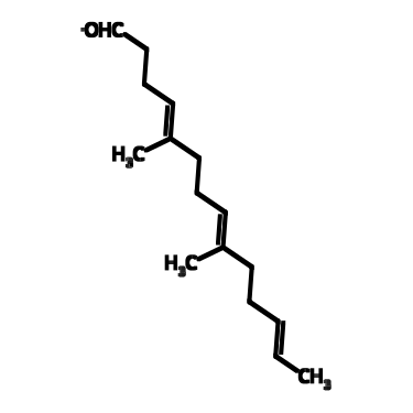 C/C=C/CC/C(C)=C/CC/C(C)=C/CC[C]=O